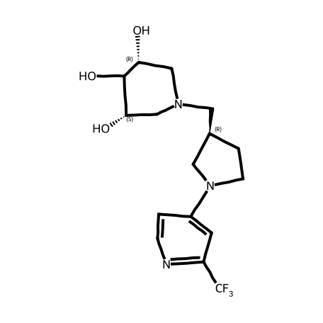 OC1[C@H](O)CN(C[C@H]2CCN(c3ccnc(C(F)(F)F)c3)C2)C[C@@H]1O